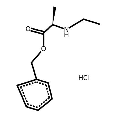 CCN[C@H](C)C(=O)OCc1ccccc1.Cl